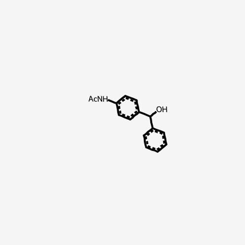 CC(=O)Nc1ccc(C(O)c2ccccc2)cc1